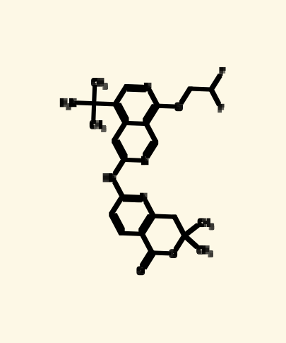 CC1(C)Cc2nc(Nc3cc4c(C(C)(C)N)cnc(OCC(F)F)c4cn3)ccc2C(=O)O1